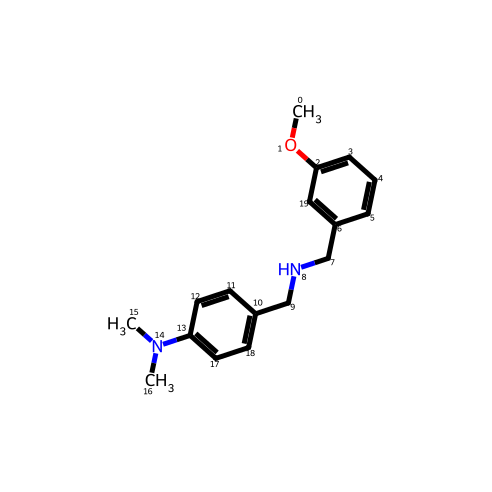 COc1cccc(CNCc2ccc(N(C)C)cc2)c1